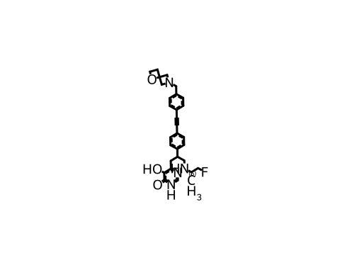 C[C@@H](CF)NCC(Cc1nc[nH]c(=O)c1O)c1ccc(C#Cc2ccc(CN3CC4(CCO4)C3)cc2)cc1